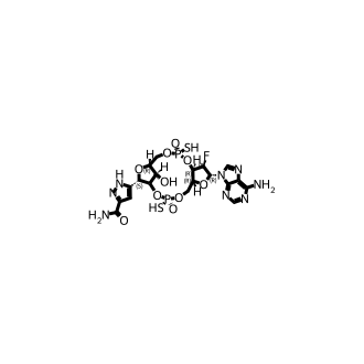 NC(=O)c1cc([C@@H]2O[C@@H]3COP(=O)(S)O[C@H]4[C@@H](F)[C@H](n5cnc6c(N)ncnc65)O[C@@H]4COP(=O)(S)OC2[C@@H]3O)[nH]n1